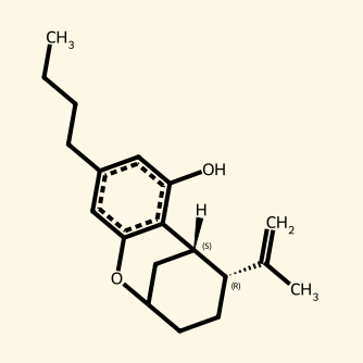 C=C(C)[C@@H]1CCC2C[C@@H]1c1c(O)cc(CCCC)cc1O2